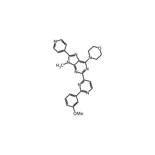 COc1cccc(-c2nccc(-c3nc(N4CCOCC4)c4nc(-c5ccncc5)n(C)c4n3)n2)c1